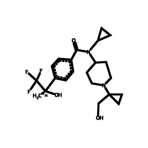 C[C@](O)(c1ccc(C(=O)N(C2CC2)C2CCN(C3(CO)CC3)CC2)cc1)C(F)(F)F